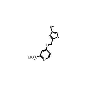 CCOC(=O)c1cc(OCc2nc(C(C)C)cs2)ccn1